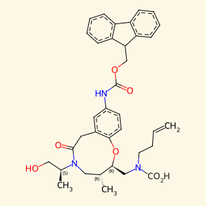 C=CCCN(C[C@@H]1Oc2ccc(NC(=O)OCC3c4ccccc4-c4ccccc43)cc2CC(=O)N([C@@H](C)CO)C[C@H]1C)C(=O)O